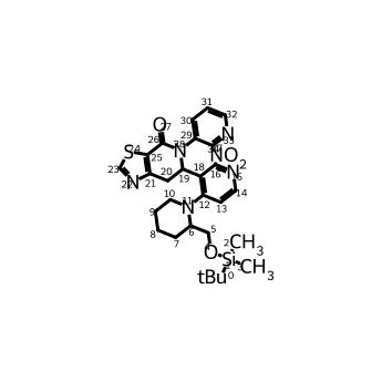 CC(C)(C)[Si](C)(C)OCC1CCCCN1c1ccnc([N+](=O)[O-])c1C1Cc2ncsc2C(=O)N1c1cccnc1